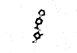 COc1ccc(/N=C(\C)c2ccc(N3CCCC3)cc2)c(C)c1